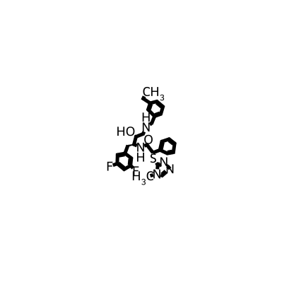 CCc1cccc(CNC[C@H](O)[C@H](Cc2cc(F)cc(F)c2)NC(=O)C(Sc2nncn2C)c2ccccc2)c1